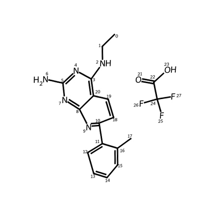 CCNc1nc(N)nc2nc(-c3ccccc3C)ccc12.O=C(O)C(F)(F)F